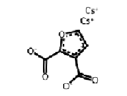 O=C([O-])c1ccoc1C(=O)[O-].[Cs+].[Cs+]